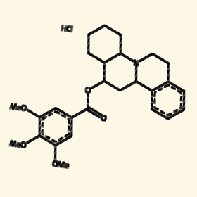 COc1cc(C(=O)OC2CC3c4ccccc4CCN3C3CCCCC23)cc(OC)c1OC.Cl